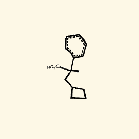 CC(CC1CCC1)(C(=O)O)c1ccccc1